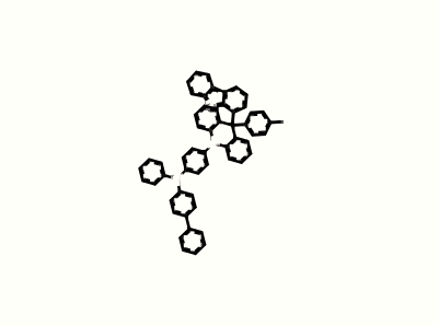 CC(C)c1ccc(C2(c3cccc4c3oc3ccccc34)c3ccccc3N(c3ccc(N(c4ccccc4)c4ccc(-c5ccccc5)cc4)cc3)c3ccccc32)cc1